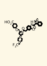 Cn1nc(C(=O)Nc2ccc(CC(=O)N3C[C@@H](N4CCN(CC(F)(F)F)CC4)C[C@H]3CO[C@H]3CC[C@H](C(=O)O)CC3)cc2Cl)c2ccccc21